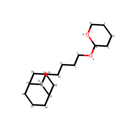 C(CCOC1CCCCO1)CCB1C2CCCC1CCC2